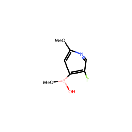 COB(O)c1cc(OC)ncc1F